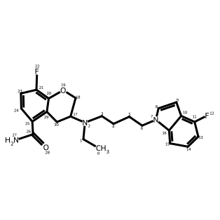 CCN(CCCCn1ccc2c(F)cccc21)C1COc2c(F)ccc(C(N)=O)c2C1